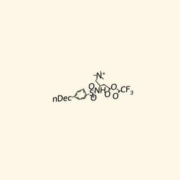 CCCCCCCCCCc1ccc(S(=O)(=O)N[C@H](CC(=O)OC(=O)C(F)(F)F)C[N+](C)(C)C)cc1